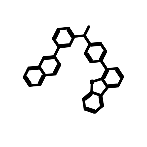 CC(c1ccc(-c2cccc3c2oc2ccccc23)cc1)c1cccc(-c2ccc3ccccc3c2)c1